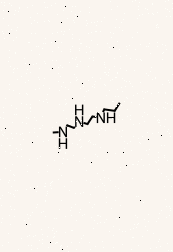 CCCNCCNCCNC